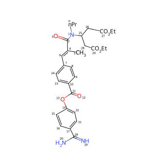 CCCN(C(=O)/C(C)=C/c1ccc(C(=O)Oc2ccc(C(=N)N)cc2)cc1)C(CC(=O)OCC)CC(=O)OCC